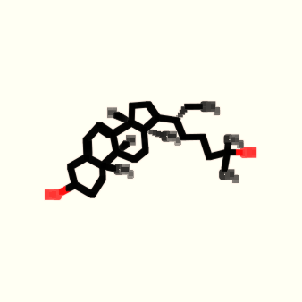 CC[C@H](CCCC(C)(C)O)C1CC[C@H]2C3=CC=C4CC(O)CCC4(C)[C@H]3CC[C@]12C